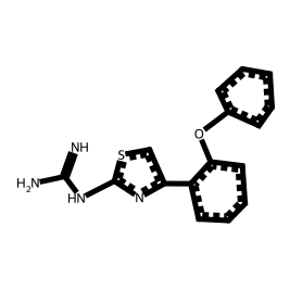 N=C(N)Nc1nc(-c2ccccc2Oc2ccccc2)cs1